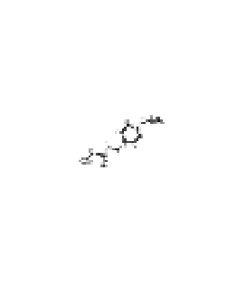 CCCCOc1ccc(CCC(=O)CCl)cc1